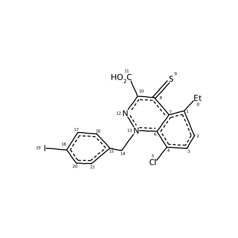 CCc1ccc(Cl)c2c1c(=S)c(C(=O)O)nn2Cc1ccc(I)cc1